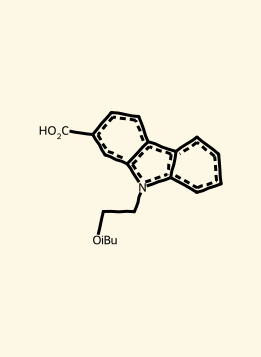 CC(C)COCCn1c2ccccc2c2ccc(C(=O)O)cc21